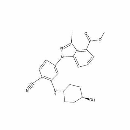 COC(=O)c1cccc2c1c(C)nn2-c1ccc(C#N)c(N[C@H]2CC[C@H](O)CC2)c1